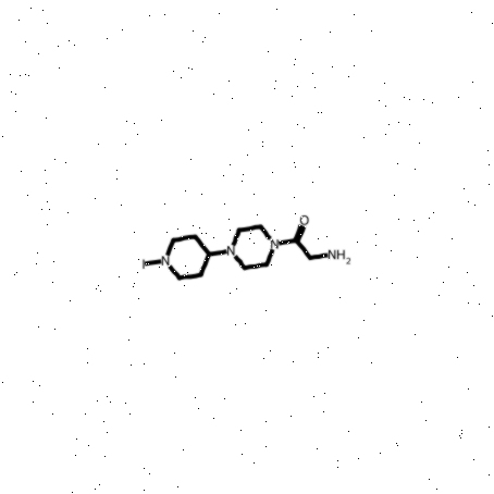 NCC(=O)N1CCN(C2CCN(I)CC2)CC1